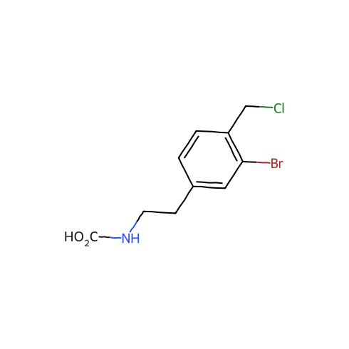 O=C(O)NCCc1ccc(CCl)c(Br)c1